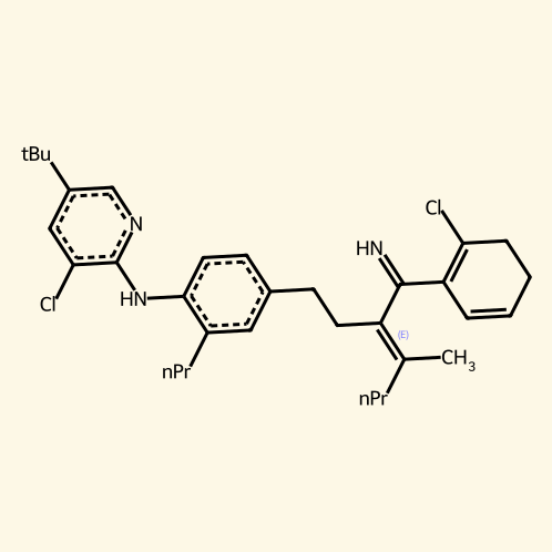 CCC/C(C)=C(\CCc1ccc(Nc2ncc(C(C)(C)C)cc2Cl)c(CCC)c1)C(=N)C1=C(Cl)CCC=C1